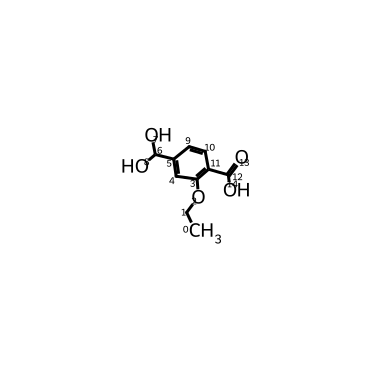 CCOc1cc(C(O)O)ccc1C(=O)O